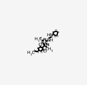 CC=Cc1cc(Cl)c(-c2c(C)nn3c(NCCNC4CCCCC4)nc(C)nc23)c(Cl)c1